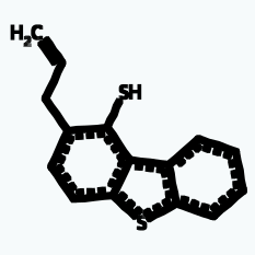 C=CCc1ccc2sc3ccccc3c2c1S